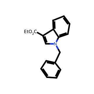 CCOC(=O)c1cn(Cc2ccccc2)c2ccccc12